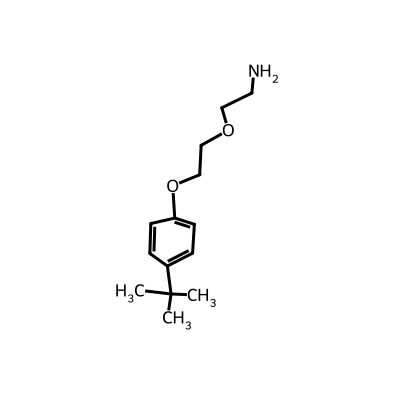 CC(C)(C)c1ccc(OCCOCCN)cc1